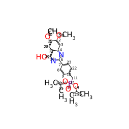 COc1cc2nc(-c3ccc(CP(=O)(OC(C)C)OC(C)C)cc3)nc(O)c2cc1OC